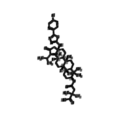 CC(C)C1=C2[C@H]3CC[C@H]4[C@@]5(C)CC[C@H](OC(=O)CC(C)(C)C(=O)O)C(C)(C)C5CC[C@@]4(C)[C@]3(C)CC[C@@]2(Nc2nnc(-c3ccc(Cl)cn3)o2)CC1=O